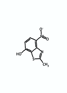 Cc1nc2c([N+](=O)[O-])ccc(O)c2s1